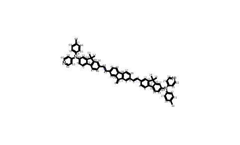 C=C1c2cc(/C=C/c3ccc4c(c3)C(C)(C)c3cc(N(c5ccncc5)c5ccc(C)cc5)ccc3-4)ccc2-c2ccc(/C=C/c3ccc4c(c3)C(C)(C)c3cc(N(c5ccncc5)c5ccc(C)cc5)ccc3-4)cc21